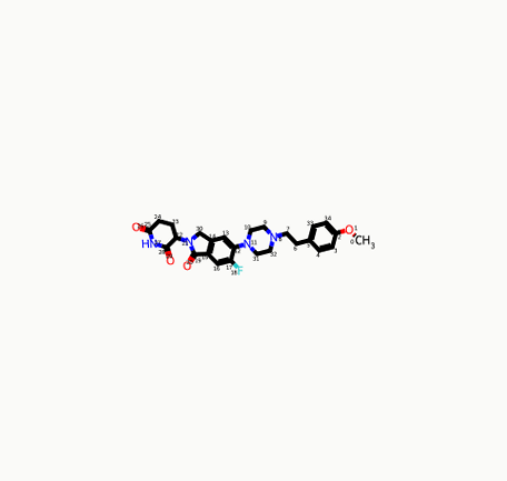 COc1ccc(CCN2CCN(c3cc4c(cc3F)C(=O)N(C3CCC(=O)NC3=O)C4)CC2)cc1